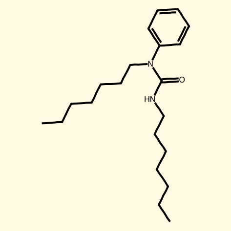 CCCCCCCNC(=O)N(CCCCCCC)c1ccccc1